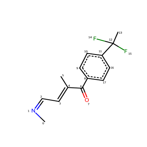 C/N=C\C=C(/C)C(=O)c1ccc(C(C)(F)F)cc1